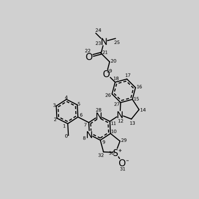 Cc1ccccc1-c1nc2c(c(N3CCc4ccc(OCC(=O)N(C)C)cc43)n1)C[S+]([O-])C2